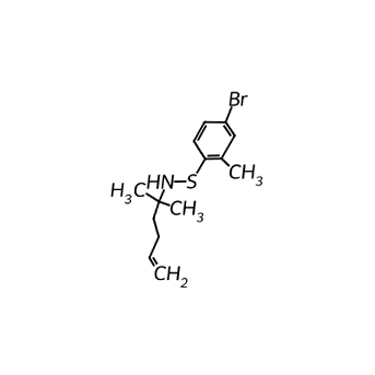 C=CCCC(C)(C)NSc1ccc(Br)cc1C